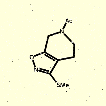 CSc1noc2c1CCN(C(C)=O)C2